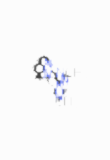 CCN(Cc1cc(N2CCN(C)CC2)nc(C)n1)C1c2ncccc2CCC12CC2